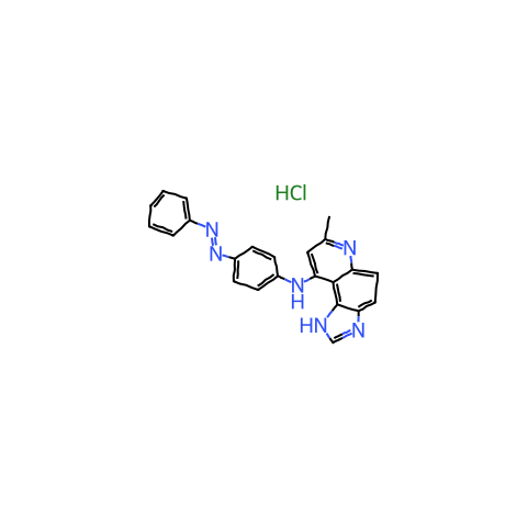 Cc1cc(Nc2ccc(N=Nc3ccccc3)cc2)c2c(ccc3nc[nH]c32)n1.Cl